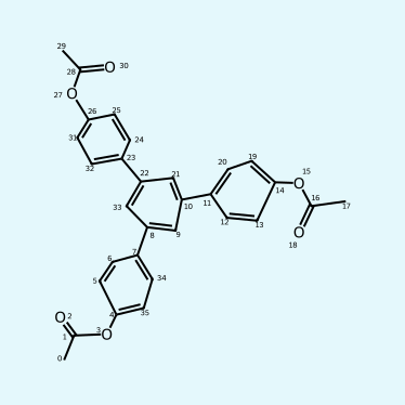 CC(=O)Oc1ccc(-c2cc(-c3ccc(OC(C)=O)cc3)cc(-c3ccc(OC(C)=O)cc3)c2)cc1